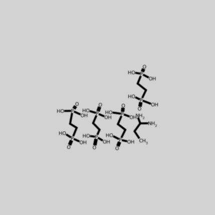 CCC(N)N.O=P(O)(O)CCP(=O)(O)O.O=P(O)(O)CCP(=O)(O)O.O=P(O)(O)CCP(=O)(O)O.O=P(O)(O)CCP(=O)(O)O